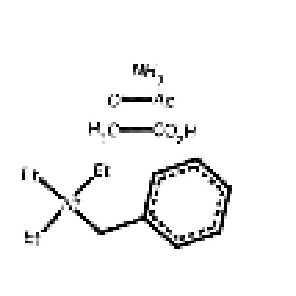 CC(=O)O.CC(=O)[O-].CC[N+](CC)(CC)Cc1ccccc1.N